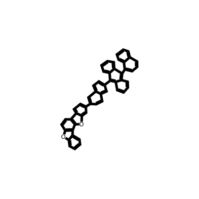 c1ccc2c(-c3c4ccccc4c(-c4ccc5cc(-c6ccc7c(c6)oc6c7ccc7oc8ccccc8c76)ccc5c4)c4ccccc34)cccc2c1